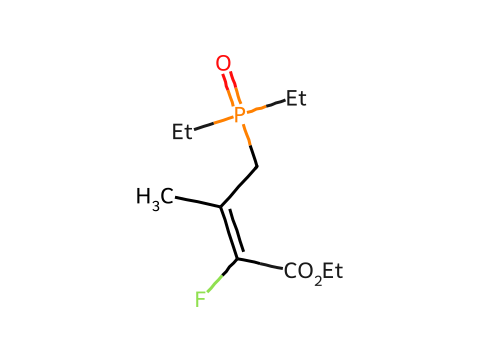 CCOC(=O)C(F)=C(C)CP(=O)(CC)CC